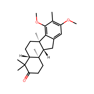 COc1cc2c(c(OC)c1C)[C@]1(C)CC[C@H]3C(C)(C)C(=O)CC[C@]3(C)[C@H]1C2